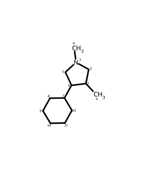 CC1CN(C)CC1C1CCCCC1